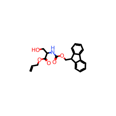 C=CCOC(=O)C(CO)NC(=O)OCC1c2ccccc2-c2ccccc21